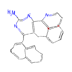 Nc1nc(-c2ccccn2)c(Cc2ccccc2)c(-c2cccc3ccccc23)n1